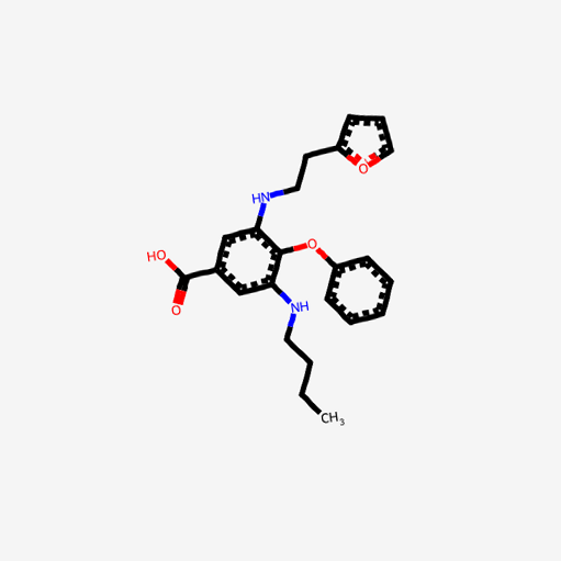 CCCCNc1cc(C(=O)O)cc(NCCc2ccco2)c1Oc1ccccc1